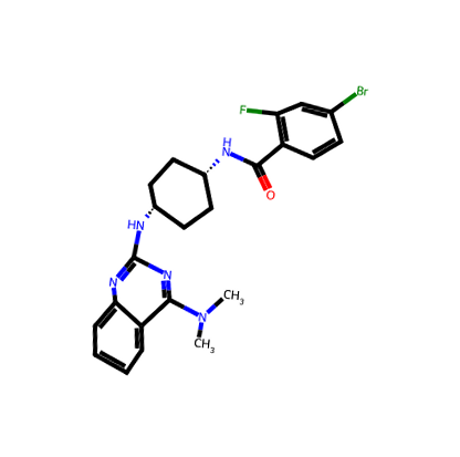 CN(C)c1nc(N[C@H]2CC[C@@H](NC(=O)c3ccc(Br)cc3F)CC2)nc2ccccc12